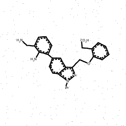 CC(C)n1nc(COc2ccccc2CC(=O)O)c2cc(-c3cccc(CN)c3N)ccc21